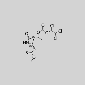 COC(=S)S[C@H]1NC(=O)[C@@H]1C(C)OC(=O)OC(Cl)C(Cl)Cl